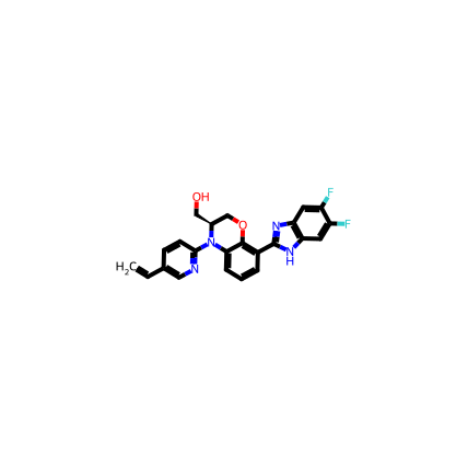 C=Cc1ccc(N2c3cccc(-c4nc5cc(F)c(F)cc5[nH]4)c3OC[C@@H]2CO)nc1